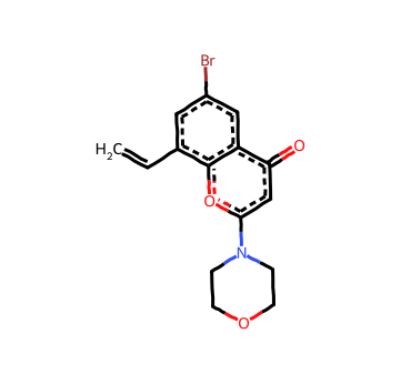 C=Cc1cc(Br)cc2c(=O)cc(N3CCOCC3)oc12